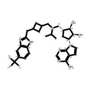 CC(C)N(CC1CC(Cc2nc3cc(C(F)(F)F)ccc3[nH]2)C1)C[C@H]1C[C@@H](n2ccc3c(N)ncnc32)[C@H](O)[C@@H]1O